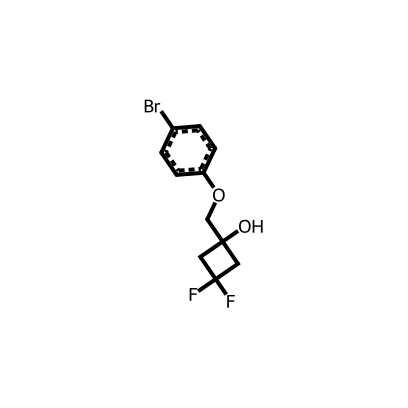 OC1(COc2ccc(Br)cc2)CC(F)(F)C1